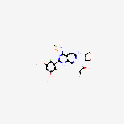 C=CC(=O)N[C@H]1COC[C@H]1Nc1cc2c(NS(C)(=O)=O)nc(-c3c(Cl)c(OC)cc(OC)c3Cl)nc2cn1